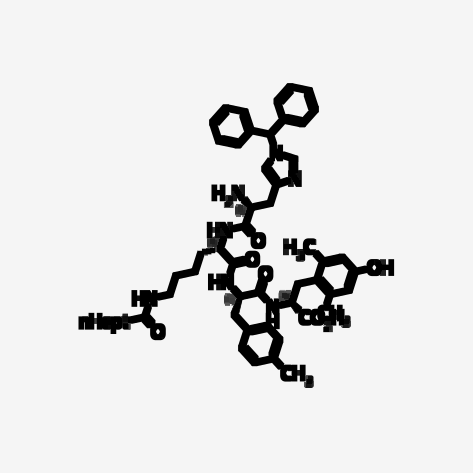 CCCCCCCC(=O)NCCCC[C@H](NC(=O)[C@@H](N)Cc1cn(C(c2ccccc2)c2ccccc2)cn1)C(=O)N[C@H](Cc1ccc(C)cc1)C(=O)N[C@@H](Cc1c(C)cc(O)cc1C)C(=O)O